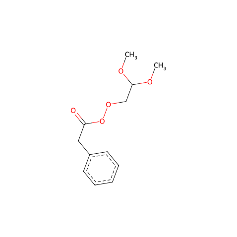 COC(COOC(=O)Cc1ccccc1)OC